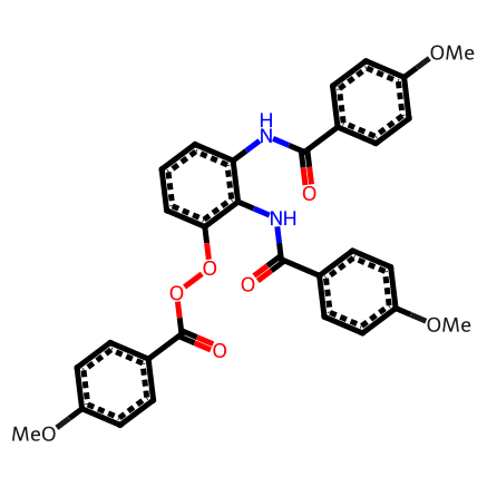 COc1ccc(C(=O)Nc2cccc(OOC(=O)c3ccc(OC)cc3)c2NC(=O)c2ccc(OC)cc2)cc1